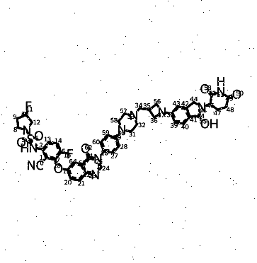 N#Cc1c(NS(=O)(=O)N2CC[C@@H](F)C2)ccc(F)c1Oc1ccc2ncn(-c3ccc(N4CCN(CC5CN(c6ccc7c(c6)CN(C6CCC(=O)NC6=O)C7O)C5)CC4)cc3)c(=O)c2c1